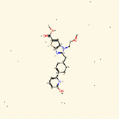 COCCn1c(CC2CC=C(c3cccc(O)n3)CC2)nc2sc(C(=O)OC)cc21